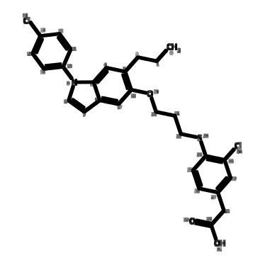 CCCc1cc2c(ccn2-c2ccc(Cl)cc2)cc1OCCCSc1ccc(CC(=O)O)cc1Cl